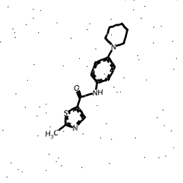 Cc1ncc(C(=O)Nc2ccc(N3CCCCC3)cc2)s1